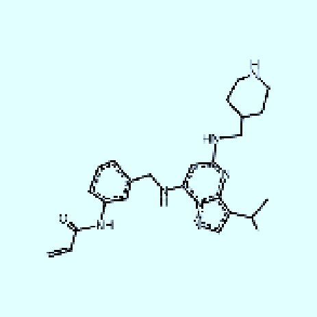 C=CC(=O)Nc1cccc(CNc2cc(NCC3CCNCC3)nc3c(C(C)C)cnn23)c1